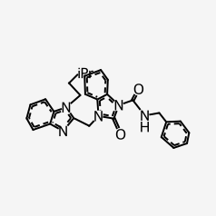 CC(C)CCn1c(Cn2c(=O)n(C(=O)NCc3ccccc3)c3ccccc32)nc2ccccc21